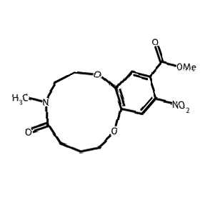 COC(=O)c1cc2c(cc1[N+](=O)[O-])OCCCC(=O)N(C)CCO2